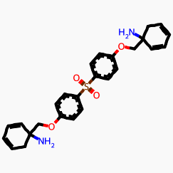 NC1(COc2ccc(S(=O)(=O)c3ccc(OCC4(N)C=CC=CC4)cc3)cc2)C=CC=CC1